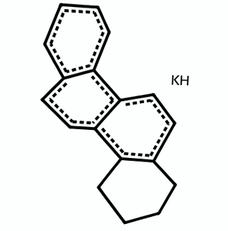 [KH].c1ccc2c(c1)ccc1c3c(ccc12)CCCC3